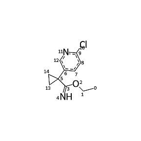 CCOC(=N)C1(c2ccc(Cl)nc2)CC1